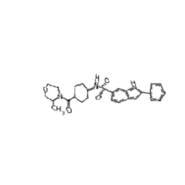 CC1COCCN1C(=O)C1CCC(NS(=O)(=O)c2ccc3cc(-c4ccccc4)[nH]c3c2)CC1